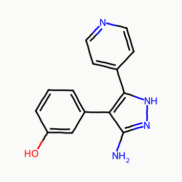 Nc1n[nH]c(-c2ccncc2)c1-c1cccc(O)c1